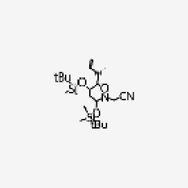 C=C[C@H](C)C1ON(CC#N)C(O[Si](C)(C)C(C)(C)C)CC1O[Si](C)(C)C(C)(C)C